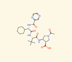 CC(=O)N1C[C@H](NC(=O)[C@@H](NC(=O)[C@@H](NC(=O)c2cnccn2)C2CCCCC2)C(C)(C)C)[C@H](C(=O)O)C1